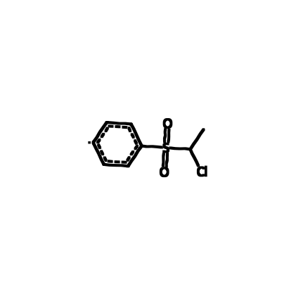 CC(Cl)S(=O)(=O)c1cc[c]cc1